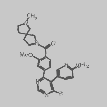 CCc1ncnc(-c2ccc(C(=O)N3CCC4(CCN(C)C4)C3)c(OC)c2)c1-c1ccc(N)nc1